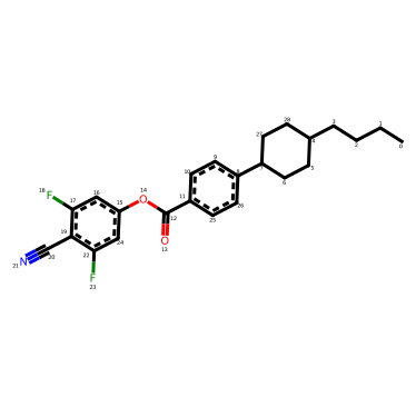 CCCCC1CCC(c2ccc(C(=O)Oc3cc(F)c(C#N)c(F)c3)cc2)CC1